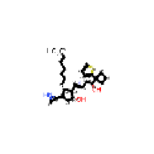 O=C(O)CCCCCC[C@H]1C(C2CN2)C[C@@H](O)C1/C=C/CC(O)C1(c2cccs2)CCC1